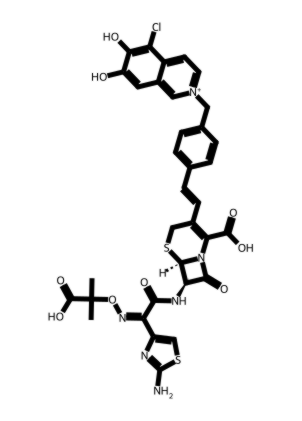 CC(C)(O/N=C(\C(=O)N[C@@H]1C(=O)N2C(C(=O)O)=C(/C=C/c3ccc(C[n+]4ccc5c(Cl)c(O)c(O)cc5c4)cc3)CS[C@H]12)c1csc(N)n1)C(=O)O